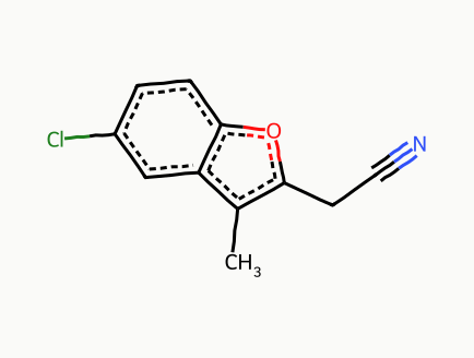 Cc1c(CC#N)oc2ccc(Cl)cc12